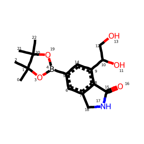 CC1(C)OB(c2cc3c(c(C(O)CO)c2)C(=O)NC3)OC1(C)C